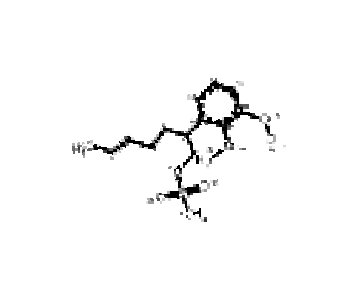 CCCCCC(COS(C)(=O)=O)c1cccc(OC)c1OC